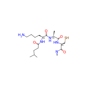 C=NC(=O)[C@H](CS)NC(=O)[C@H](C)NC(=O)[C@H](CCCCN)NC(=O)CCC(C)C